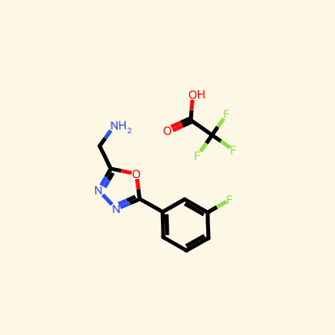 NCc1nnc(-c2cccc(F)c2)o1.O=C(O)C(F)(F)F